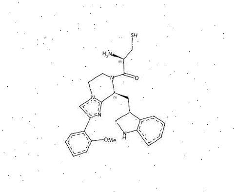 COc1ccccc1-c1cn2c(n1)[C@H](CC1CNc3ccccc31)N(C(=O)[C@@H](N)CS)CC2